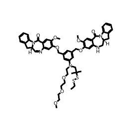 CCSSC(C)(C)CN(CCOCCOCCOC)c1cc(COc2cc3c(cc2OC)C(=O)N2c4ccccc4C[C@H]2C=N3)cc(COc2cc3c(cc2OC)C(=O)N2c4ccccc4C[C@H]2CN3)c1